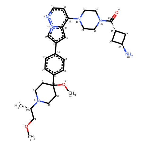 COC[C@H](C)N1CCC(OC)(c2ccc(-c3cc4c(N5CCN(C(=O)[C@H]6C[C@H](N)C6)CC5)ccnn4c3)cc2)CC1